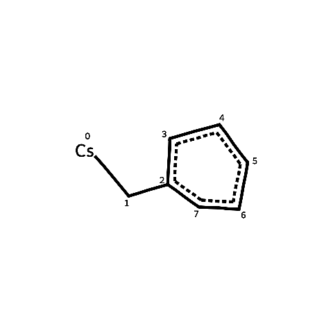 [Cs][CH2]c1ccccc1